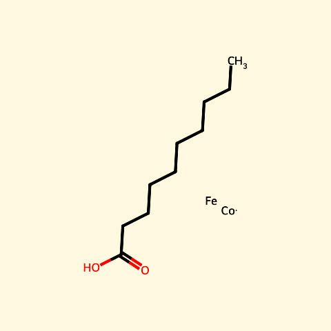 CCCCCCCCCC(=O)O.[Co].[Fe]